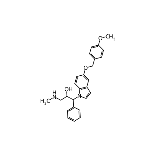 CNCC(O)C(c1ccccc1)n1ccc2cc(OCc3ccc(OC)cc3)ccc21